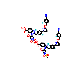 CO[C@@H]1CN(S(C)(=O)=O)C[C@@H]1n1c(Cc2cc(F)c(-c3cccc(OCc4ccc(C#N)cc4F)n3)cc2F)nc2ccc(C(=O)O)cc21.CO[C@@H]1CN(S(C)(=O)=O)C[C@@H]1n1c(Cc2cc(F)c(-c3cccc(OCc4ccc(C#N)cc4F)n3)cc2F)nc2ccc(C(=O)O)cc21